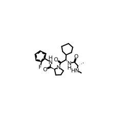 CN[C@@H](C)C(=O)N[C@H](C(=O)N1CCC[C@H]1C(=O)Nc1ccccc1F)C1CCCCC1